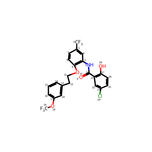 O=C(Nc1cc(C(F)(F)F)ccc1OCCc1cccc(OC(F)(F)F)c1)c1cc(Cl)ccc1O